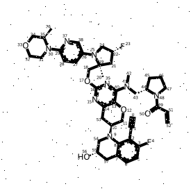 C#Cc1c(F)ccc2c1N([C@@H]1COc3c(nc(OC[C@]4(C)C[C@@H](F)CN4c4ccc(N5CCOC[C@H]5C)nc4)nc3N(C)C[C@@H]3CCCN3C(=O)C=C)C1)C[C@@H](O)C2